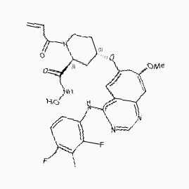 C=CC(=O)N1CC[C@H](Oc2cc3c(Nc4ccc(F)c(C)c4F)ncnc3cc2OC)C[C@H]1C(=O)NO